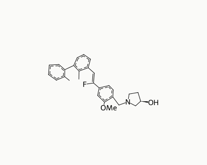 COc1cc(/C(F)=C/c2cccc(-c3ccccc3C)c2C)ccc1CN1CC[C@@H](O)C1